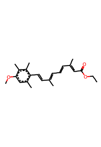 CCOC(=O)C=C(C)C=CC=C(C)C=Cc1c(C)cc(OC)c(C)c1C